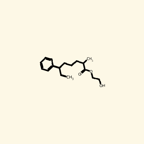 CCC(CCCC(C)C(=O)OCCO)c1ccccc1